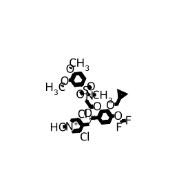 COc1ccc(S(=O)(=O)N(C)CC(=O)O[C@@H](Cc2c(Cl)c[n+](O)cc2Cl)c2ccc(OC(F)F)c(OCC3CC3)c2)cc1OC